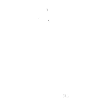 NCCCCCCCCCCCCNC(=S)S